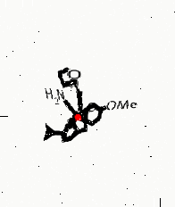 COC1CCC2(CC1)Cc1ccc(C3CC3)cc1[C@@]21N=C(N)N(C[C@H]2CCCO2)C1=O